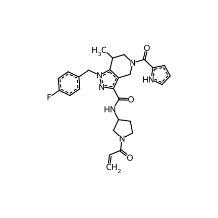 C=CC(=O)N1CCC(NC(=O)c2nn(Cc3ccc(F)cc3)c3c2CN(C(=O)c2ccc[nH]2)CC3C)C1